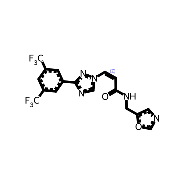 O=C(/C=C\n1cnc(-c2cc(C(F)(F)F)cc(C(F)(F)F)c2)n1)NCc1cnco1